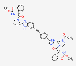 COC(=O)N[C@@H](C(=O)N1CCN(C(C)=O)C[C@H]1c1ncc(-c2ccc(C#Cc3ccc4nc([C@@H]5CCCN5C(=O)[C@H](NC(=O)OC)c5ccccc5)[nH]c4c3)cc2)[nH]1)c1ccccc1